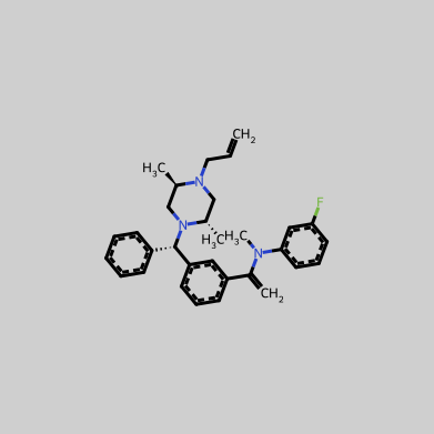 C=CCN1C[C@H](C)N([C@@H](c2ccccc2)c2cccc(C(=C)N(C)c3cccc(F)c3)c2)C[C@H]1C